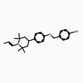 C/C=C/N1C(C)(C)CC(c2ccc(OCc3ccc(CCC)cc3)cc2)CC1(C)C